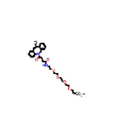 C/C1=C/c2ccccc2N(C(=O)CCC(=O)NCCOCCOCCOCCOCCC(=O)O)Cc2ccccc21